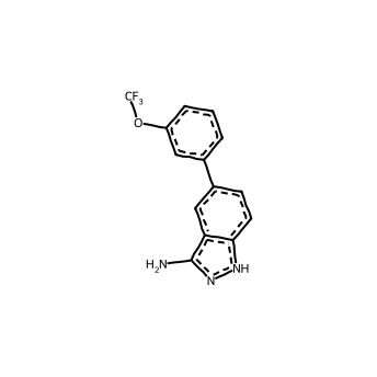 Nc1n[nH]c2ccc(-c3cccc(OC(F)(F)F)c3)cc12